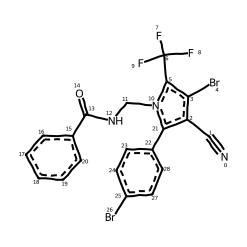 N#Cc1c(Br)c(C(F)(F)F)n(CNC(=O)c2ccccc2)c1-c1ccc(Br)cc1